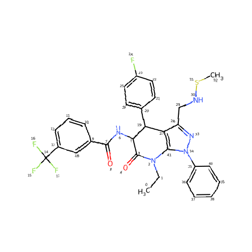 CCN1C(=O)C(NC(=O)c2cccc(C(F)(F)F)c2)C(c2ccc(F)cc2)c2c(CNSC)nn(-c3ccccc3)c21